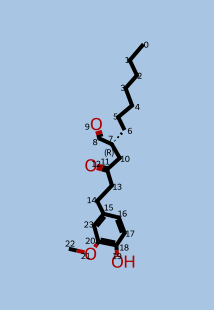 CCCCCCC[C@@H](C=O)CC(=O)CCc1ccc(O)c(OC)c1